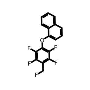 FCc1c(F)c(F)c(Oc2cccc3ccccc23)c(F)c1F